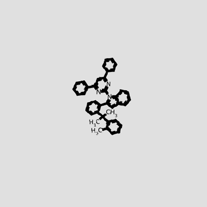 Cc1ccccc1C(C)(C)c1ccccc1-c1cc2ccccc2n1-c1nc(-c2ccccc2)cc(-c2ccccc2)n1